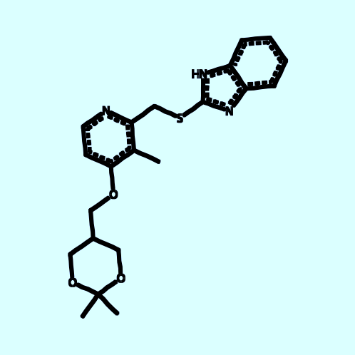 Cc1c(OCC2COC(C)(C)OC2)ccnc1CSc1nc2ccccc2[nH]1